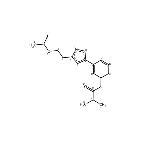 CC(I)OCCn1cc(C2=CC(CC(=O)C(C)C)CC=C2)cn1